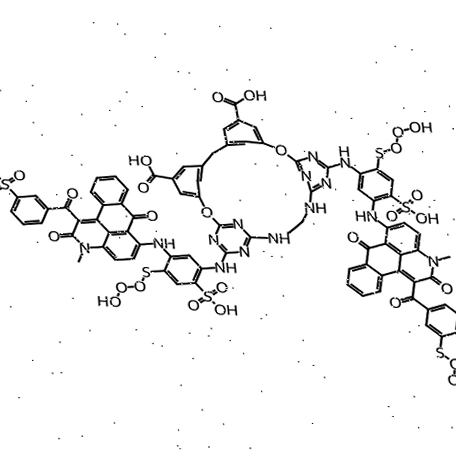 Cn1c(=O)c(C(=O)c2cccc(S(=O)(=O)O)c2)c2c3c(c(Nc4cc(Nc5nc6nc(n5)Oc5cc(cc(C(=O)O)c5)Cc5cc(cc(C(=O)O)c5)Oc5nc(nc(Nc7cc(Nc8ccc9c%10c8C(=O)c8ccccc8-c%10c(C(=O)c8cccc(SOOO)c8)c(=O)n9C)c(S(=O)(=O)O)cc7SOOO)n5)NCCN6)c(S(=O)(=O)O)cc4SOOO)ccc31)C(=O)c1ccccc1-2